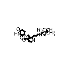 CC(C)(C)OC(=O)NC/C=C/c1nccc2c1CN(C1CCC(=O)NC1=O)C2=O